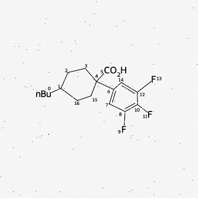 CCCCC1CCC(C(=O)O)(c2cc(F)c(F)c(F)c2)CC1